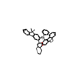 CC1(C)c2ccccc2-c2cc(-c3ccc4c(c3)CCCC4)c(N(c3ccccc3)c3cccc4oc5ccccc5c34)cc21